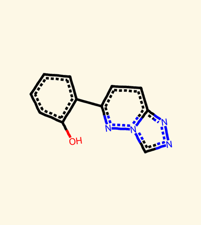 Oc1ccccc1-c1ccc2nncn2n1